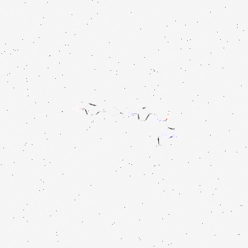 Cc1nc2sccn2c1C(=O)NCc1ccc(N2CC3(CC(c4ccc(OC(F)(F)F)cc4)C3)C2)cc1